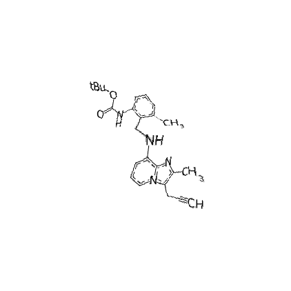 C#CCc1c(C)nc2c(NCc3c(C)cccc3NC(=O)OC(C)(C)C)cccn12